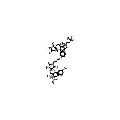 CCN1CC23C[C@@]4(C[C@]5(CC[C@@]4(O)[C@H]12)NC(=O)N(CCCOc1ccc2c(c1)[C@]14CC26CN(CCC(F)(F)F)[C@H]6[C@]1(O)CC[C@@]1(C4)NC(=O)NC1=O)C5=O)c1cc(OC)ccc13